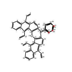 C=Cc1c2ccccc2c(C=C)c2c(Oc3c(Sc4ccccc4)ccc4c(C=C)c5ccccc5c(C=C)c34)c(Sc3ccccc3)ccc12